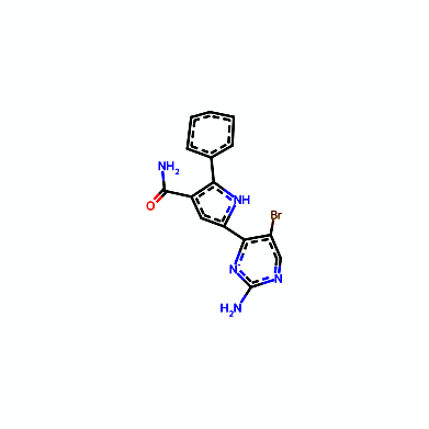 NC(=O)c1cc(-c2nc(N)ncc2Br)[nH]c1-c1ccccc1